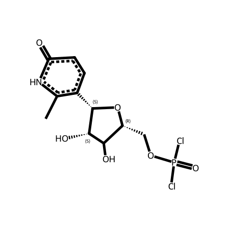 Cc1[nH]c(=O)ccc1[C@@H]1O[C@H](COP(=O)(Cl)Cl)C(O)[C@@H]1O